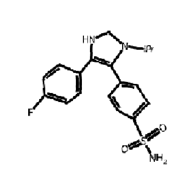 CC(C)N1CNC(c2ccc(F)cc2)=C1c1ccc(S(N)(=O)=O)cc1